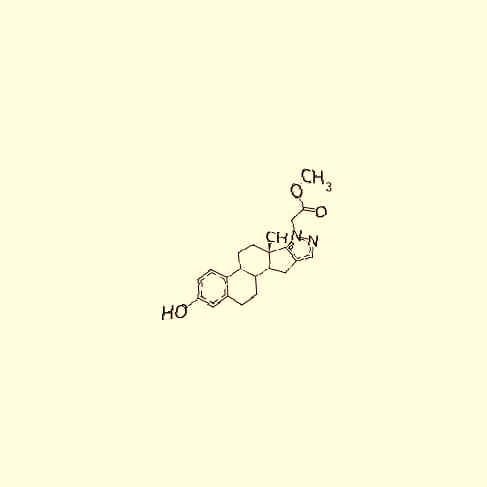 COC(=O)Cn1ncc2c1[C@@]1(C)CCC3c4ccc(O)cc4CCC3C1C2